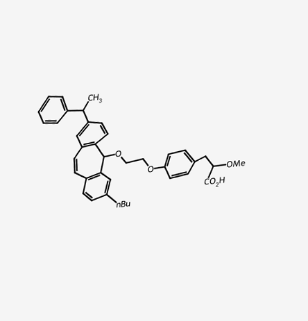 CCCCc1ccc2c(c1)C(OCCOc1ccc(CC(OC)C(=O)O)cc1)c1ccc(C(C)c3ccccc3)cc1C=C2